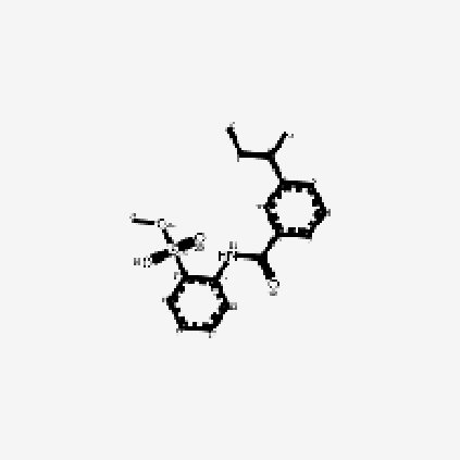 CCC(C)c1cccc(C(=O)Nc2ccccc2S(=O)(=O)OC)c1